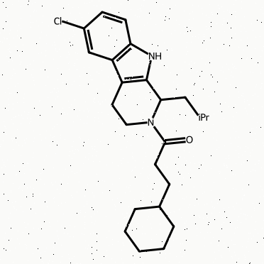 CC(C)CC1c2[nH]c3ccc(Cl)cc3c2CCN1C(=O)CCC1CCCCC1